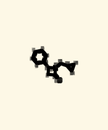 O=C1C[C@@H](c2ccccc2)N1CC1CC1